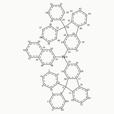 c1ccc(C2(c3ccccc3)c3ccccc3-c3ccc(N(c4ccc5c(c4)C(c4ccccc4)(c4ccccc4)c4ccccc4-5)c4ccc5ccccc5c4)cc32)cc1